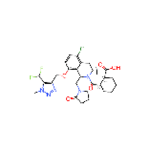 CC[C@]1(C(=O)O)CCCC[C@H]1C(=O)N1CCc2c(Cl)ccc(OCc3nnn(C)c3C(F)F)c2C1CN1CCCC1=O